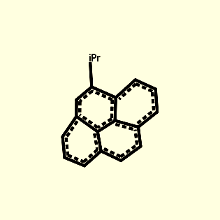 CC(C)c1cc2cccc3ccc4cccc1c4c32